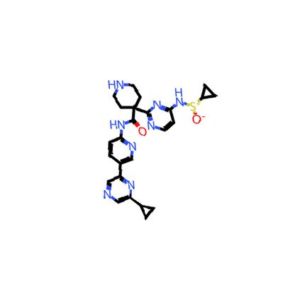 O=C(Nc1ccc(-c2cncc(C3CC3)n2)cn1)C1(c2nccc(N[S+]([O-])C3CC3)n2)CCNCC1